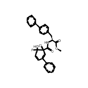 COC(=O)[C@H](Cc1ccc(-c2ccccc2)cc1)NC(=O)C1(Cl)C=C(c2ccccc2)C=CC1(O)F